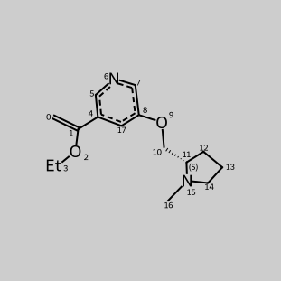 C=C(OCC)c1cncc(OC[C@@H]2CCCN2C)c1